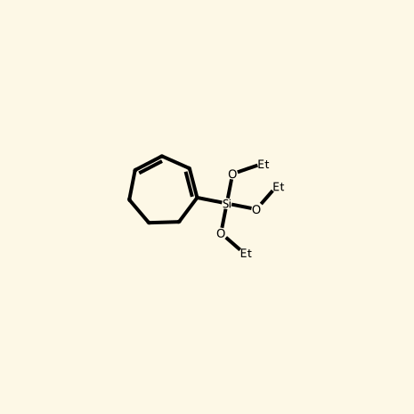 CCO[Si](OCC)(OCC)C1=CC=CCCC1